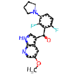 COc1cnc2[nH]cc(C(=O)c3c(F)ccc(N4CCCC4)c3F)c2c1